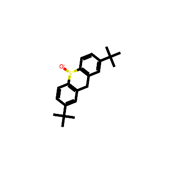 CC(C)(C)c1ccc2c(c1)Cc1cc(C(C)(C)C)ccc1[S+]2[O-]